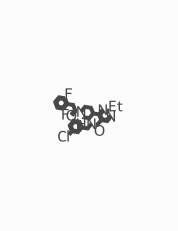 CCc1ncc(C(=O)NCc2cccc(Cl)c2)c(C2CCN(C(=O)Cc3c(F)cccc3F)CC2)n1